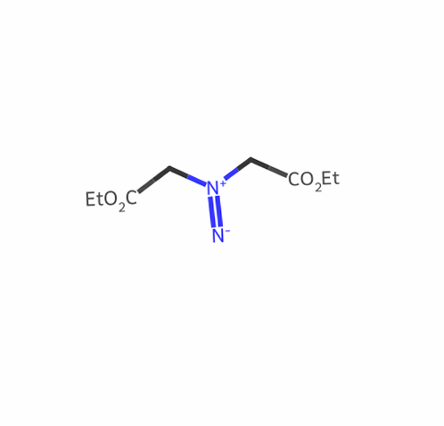 CCOC(=O)C[N+](=[N-])CC(=O)OCC